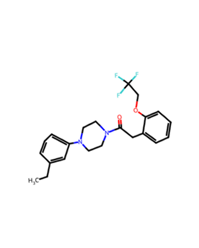 CCc1cccc(N2CCN(C(=O)Cc3ccccc3OCC(F)(F)F)CC2)c1